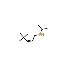 CC(C)PC/C=C\C(C)(C)C